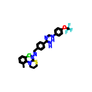 Cc1cccc(Cl)c1N1CCCS/C1=N\N=C\c1ccc(C(=N)/N=C\Nc2ccc(OC(F)(F)F)cc2)cc1